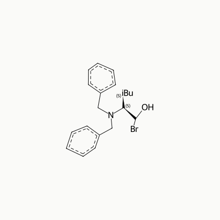 CC[C@H](C)[C@@H](C(O)Br)N(Cc1ccccc1)Cc1ccccc1